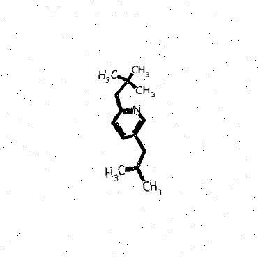 CC(C)Cc1ccc(CC(C)(C)C)nc1